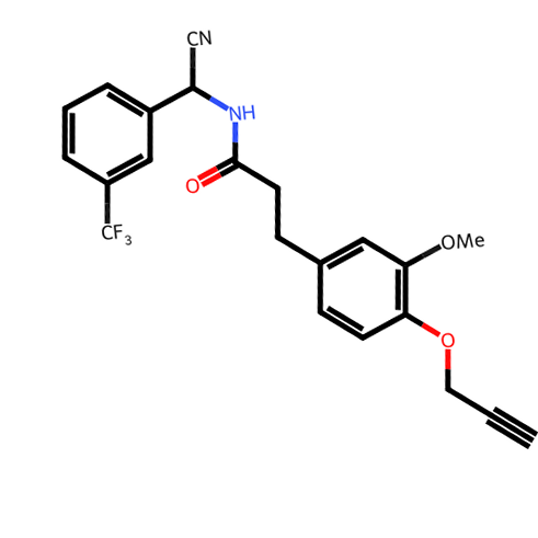 C#CCOc1ccc(CCC(=O)NC(C#N)c2cccc(C(F)(F)F)c2)cc1OC